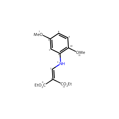 CCOC(=O)C(=CNc1cc(OC)ccc1OC)C(=O)OCC